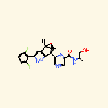 C[C@H](CO)NC(=O)c1cncc([C@@]23CC[C@@H](c4cc(-c5c(F)cccc5F)nnc42)C3(C)C)n1